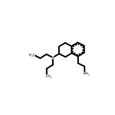 CCCN(CCC)C1CCc2cccc(CCN)c2C1